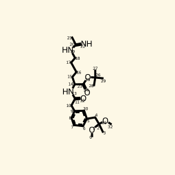 COC(C)(Cc1cccc(CC(=O)NC(CCCCNC(C)=N)C(=O)OC(C)(C)C)c1)OC